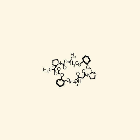 CCOC(=O)N1CCS[C@]1(OCOc1ccccc1OC)C(C)=O.COc1ccccc1OC[C@@H]1SCCN1C(=O)CC(=O)O